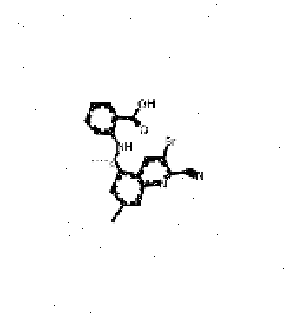 Cc1cc([C@H](C)Nc2ccccc2C(=O)O)c2cc(Br)c(C#N)nc2c1